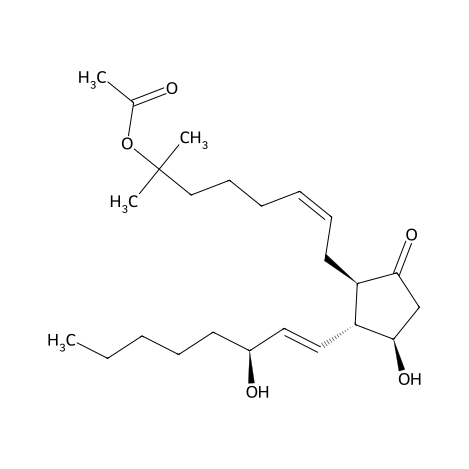 CCCCC[C@H](O)/C=C/[C@H]1[C@H](O)CC(=O)[C@@H]1C/C=C\CCCC(C)(C)OC(C)=O